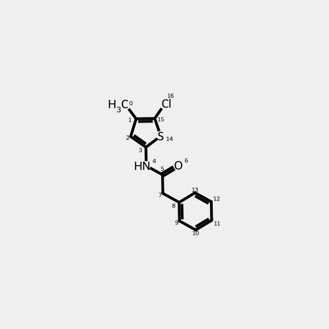 Cc1cc(NC(=O)Cc2ccccc2)sc1Cl